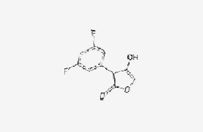 O=C1OC=C(O)C1c1cc(F)cc(F)c1